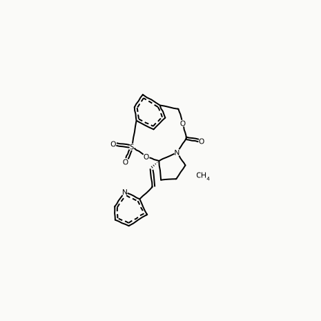 C.O=C1OCc2ccc(cc2)S(=O)(=O)O[C@]2(C=Cc3ccccn3)CCCN12